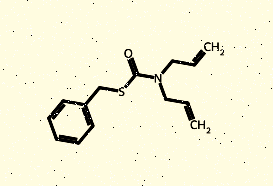 C=CCN(CC=C)C(=O)SCc1ccccc1